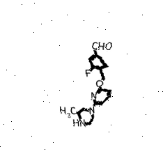 CC1CN(c2cccc(OCc3ccc(C=O)cc3F)n2)CCN1